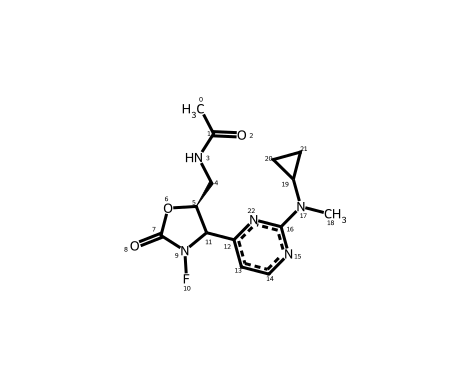 CC(=O)NC[C@@H]1OC(=O)N(F)C1c1ccnc(N(C)C2CC2)n1